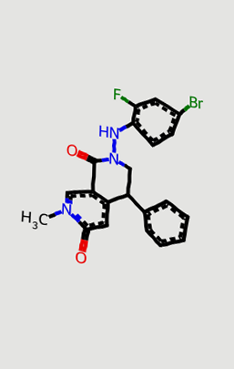 Cn1cc2c(cc1=O)C(c1ccccc1)CN(Nc1ccc(Br)cc1F)C2=O